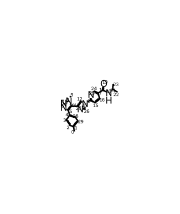 Cc1ccc(-c2nnn(C)c2-c2cn(-c3ccc(C(=O)NC(C)C)cn3)cn2)cc1